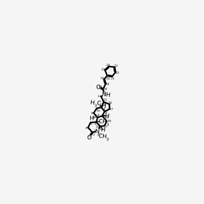 CN1C(=O)CC[C@]2(C)[C@H]3CC[C@]4(C)C(CNC(=O)C=Cc5ccccc5)CC[C@H]4[C@@H]3CC[C@@H]12